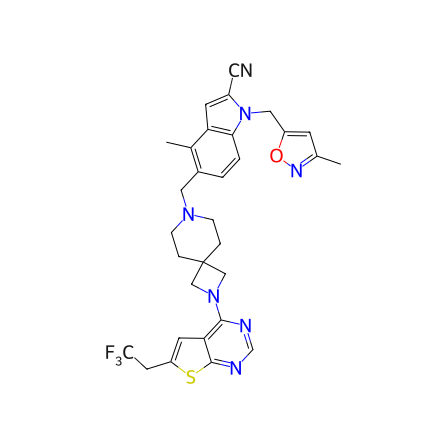 Cc1cc(Cn2c(C#N)cc3c(C)c(CN4CCC5(CC4)CN(c4ncnc6sc(CC(F)(F)F)cc46)C5)ccc32)on1